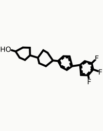 OC1CCC(C2CCC(c3ccc(-c4cc(F)c(F)c(F)c4)cc3)CC2)CC1